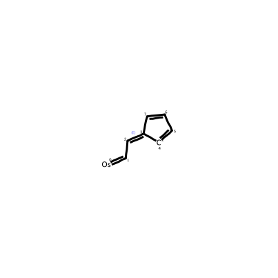 [Os]=[CH]/C=C1\[C-]=CC=C1